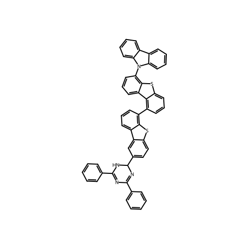 c1ccc(C2=NC(c3ccc4sc5c(-c6cccc7sc8c(-n9c%10ccccc%10c%10ccccc%109)cccc8c67)cccc5c4c3)NC(c3ccccc3)=N2)cc1